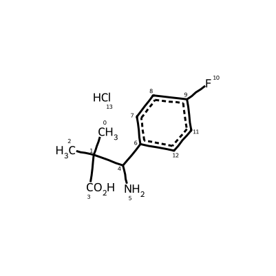 CC(C)(C(=O)O)C(N)c1ccc(F)cc1.Cl